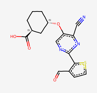 N#Cc1nc(-c2sccc2C=O)ncc1O[C@H]1CCC[C@H](C(=O)O)C1